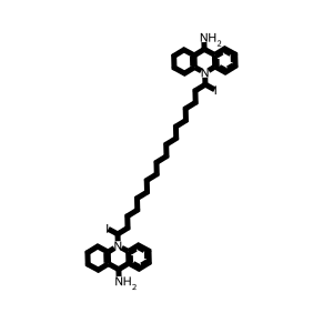 NC1C2=C(CCCC2)N(C(I)CCCCCCCCCCCCCCCCC(I)N2C3=C(CCCC3)C(N)c3ccccc32)c2ccccc21